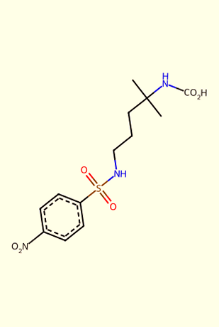 CC(C)(CCCNS(=O)(=O)c1ccc([N+](=O)[O-])cc1)NC(=O)O